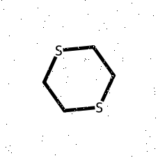 C1CSCCS1